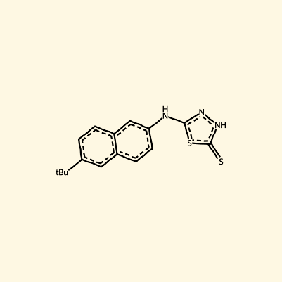 CC(C)(C)c1ccc2cc(Nc3n[nH]c(=S)s3)ccc2c1